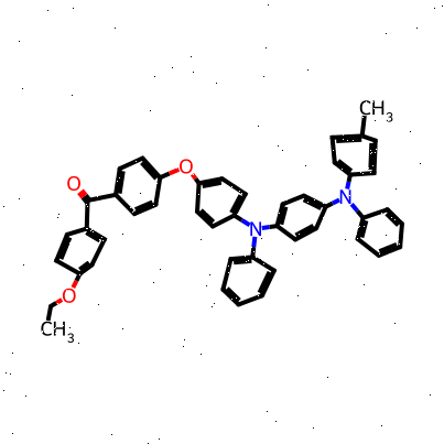 CCOc1ccc(C(=O)c2ccc(Oc3ccc(N(c4ccccc4)c4ccc(N(c5ccccc5)c5ccc(C)cc5)cc4)cc3)cc2)cc1